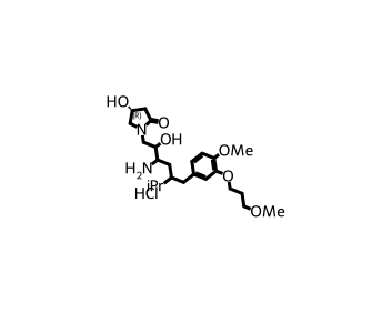 COCCCOc1cc(CC(CC(N)C(O)CN2C[C@H](O)CC2=O)C(C)C)ccc1OC.Cl